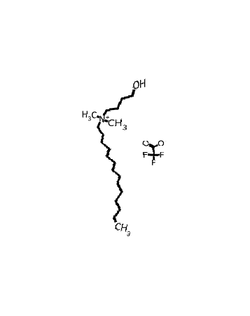 CCCCCCCCCCCCCC[N+](C)(C)CCCCO.O=C([O-])C(F)(F)F